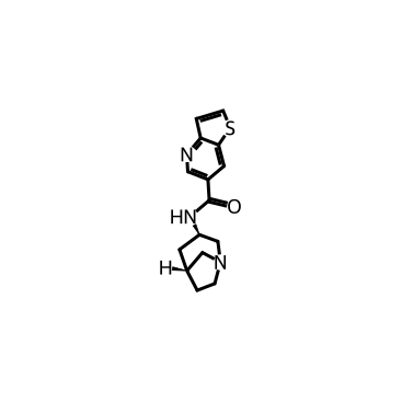 O=C(N[C@@H]1C[C@H]2CCN(C2)C1)c1cnc2ccsc2c1